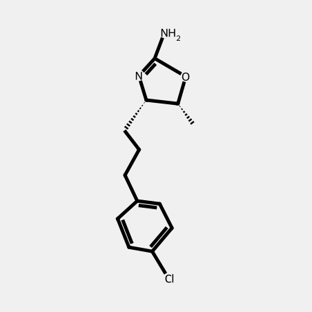 C[C@H]1OC(N)=N[C@H]1CCCc1ccc(Cl)cc1